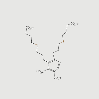 CCOC(=O)CCCSCCCc1ccc(C(=O)O)c(C(=O)O)c1CCCSCCCC(=O)OCC